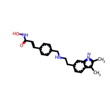 Cc1[nH]c2cc(CCNCc3ccc(/C=C/C(=O)NO)cc3)ccc2c1C